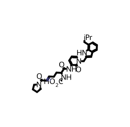 CC(C)Cc1cccc2cc(Cn3cccc(NC(=O)C(CC/C=C/C(=O)N4CCCC4)NC(=O)O)c3=O)[nH]c12